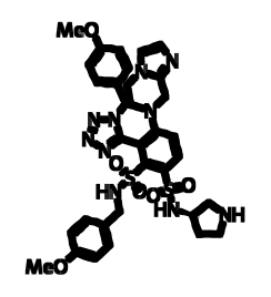 COc1ccc(CNS(=O)(=O)c2c(S(=O)(=O)N[C@@H]3CCNC3)ccc(N3CCn4ccnc4C3)c2-c2nnnn2Cc2ccc(OC)cc2)cc1